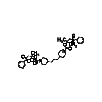 CC(C)(CS(=O)(=O)c1ccccc1)OC(=O)N1CCC(CCCC2CCN(C(=O)OC(C)(C)CS(=O)(=O)c3ccccc3)CC2)CC1